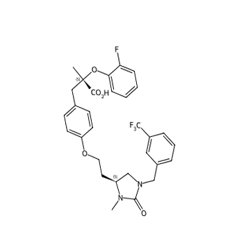 CN1C(=O)N(Cc2cccc(C(F)(F)F)c2)C[C@@H]1CCOc1ccc(C[C@](C)(Oc2ccccc2F)C(=O)O)cc1